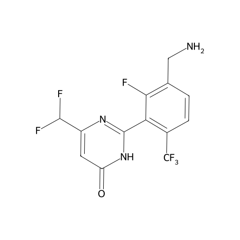 NCc1ccc(C(F)(F)F)c(-c2nc(C(F)F)cc(=O)[nH]2)c1F